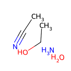 CC#N.CCO.N.O